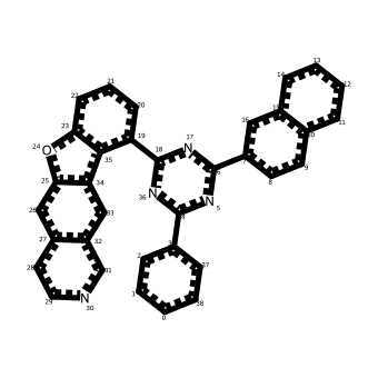 c1ccc(-c2nc(-c3ccc4ccccc4c3)nc(-c3cccc4oc5cc6ccncc6cc5c34)n2)cc1